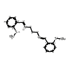 CC(C)(C)Sc1ccccc1/C=N/CCC/N=C/c1ccccc1SC(C)(C)C